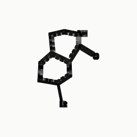 CCc1ccc2cc[nH]c(=O)c2c1